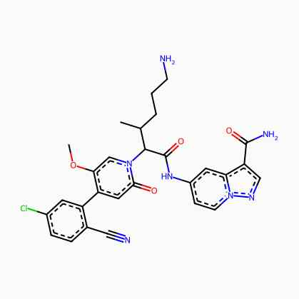 COc1cn(C(C(=O)Nc2ccn3ncc(C(N)=O)c3c2)C(C)CCCN)c(=O)cc1-c1cc(Cl)ccc1C#N